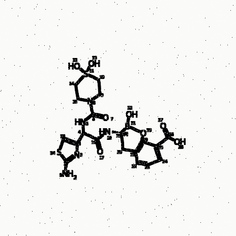 Nc1nc(C(NC(=O)N2CCS(O)(O)CC2)C(=O)N[C@H]2Cc3cccc(C(=O)O)c3OB2O)cs1